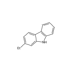 CCc1ccc2c(c1)[nH]c1ccc[c]c12